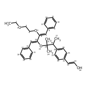 CCOCCOC(=Cc1ccccc1)C(=Cc1ccccc1)OC(C)(C)C(C)c1ccc(C=CO)cc1